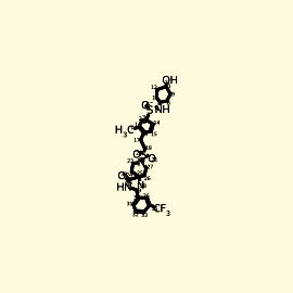 Cc1cc([S+]([O-])NC2CCC(O)CC2)ccc1CCS(=O)(=O)N1CCC2(CC1)N=C(c1cccc(C(F)(F)F)c1)NC2=O